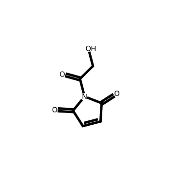 O=C1C=CC(=O)N1C(=O)CO